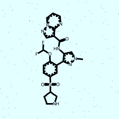 Cn1cc(NC(=O)c2cnn3cccnc23)c(-c2cc(S(=O)(=O)C3CCNC3)ccc2OC(F)F)n1